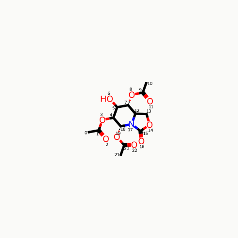 CC(=O)OC1C(O)[C@H](OC(C)=O)C2COC(=O)N2[C@@H]1OC(C)=O